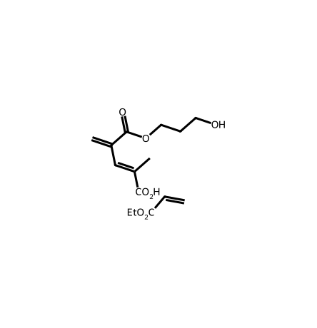 C=C(C=C(C)C(=O)O)C(=O)OCCCO.C=CC(=O)OCC